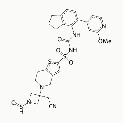 COc1cc(-c2ccc3c(c2NC(=O)NS(=O)(=O)c2cc4c(s2)CCN(C2(CC#N)CN([SH]=O)C2)C4)CCC3)ccn1